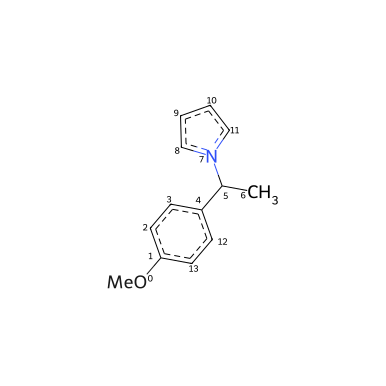 COc1ccc(C(C)n2cccc2)cc1